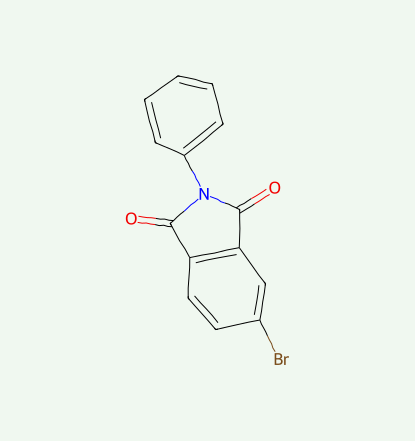 O=C1c2ccc(Br)cc2C(=O)N1c1ccccc1